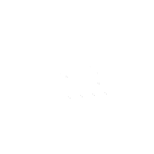 CNc1nc(Nc2cc(NC(=O)c3c(Cl)cccc3Cl)ccn2)cc(C(F)(F)F)n1